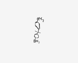 BC1=CC=C(C(C)(C)c2ccc(B)cc2)CC1